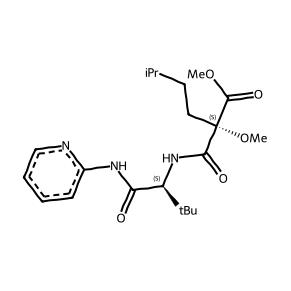 COC(=O)[C@@](CCC(C)C)(OC)C(=O)N[C@H](C(=O)Nc1ccccn1)C(C)(C)C